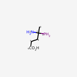 CC(N)(P)CCC(=O)O